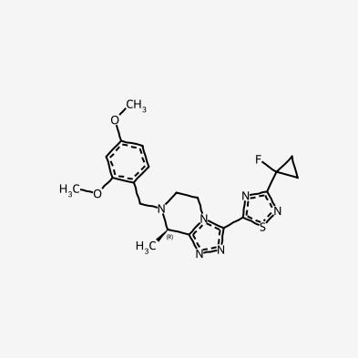 COc1ccc(CN2CCn3c(-c4nc(C5(F)CC5)ns4)nnc3[C@H]2C)c(OC)c1